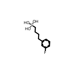 O[Si](O)(O)CCCCc1cccc(F)c1